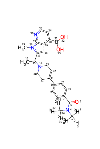 [2H]C([2H])([2H])N(C(=O)c1ccc(C2=CCN(C(C)c3cc4c(B(O)O)ccnc4n3C)CC2)cc1)C([2H])([2H])[2H]